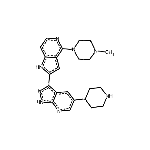 CN1CCN(c2nccc3[nH]c(-c4n[nH]c5ncc(C6CCNCC6)cc45)cc23)CC1